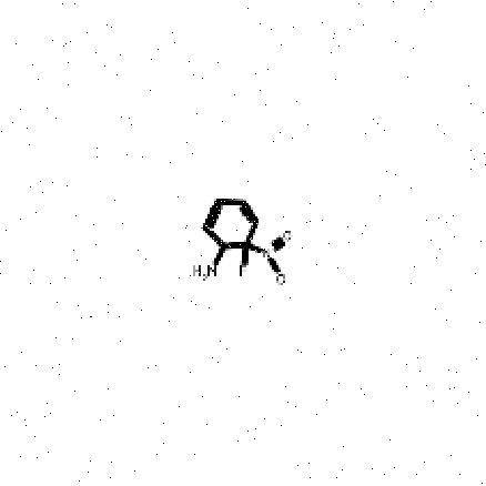 NC1C=CC=CC1(F)[N+](=O)[O-]